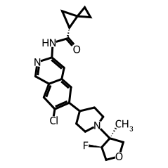 C[C@]1(N2CCC(c3cc4cc(NC(=O)[C@@H]5CC56CC6)ncc4cc3Cl)CC2)COC[C@H]1F